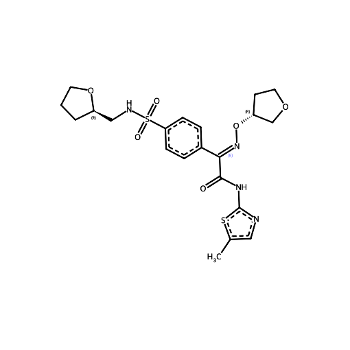 Cc1cnc(NC(=O)/C(=N/O[C@@H]2CCOC2)c2ccc(S(=O)(=O)NC[C@H]3CCCO3)cc2)s1